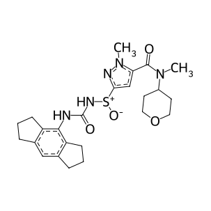 CN(C(=O)c1cc([S+]([O-])NC(=O)Nc2c3c(cc4c2CCC4)CCC3)nn1C)C1CCOCC1